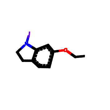 CCOc1ccc2c(c1)N(I)CC2